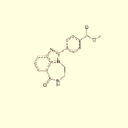 COC(=O)c1ccc(-c2nc3cccc4c3n2CCNC4=O)cc1